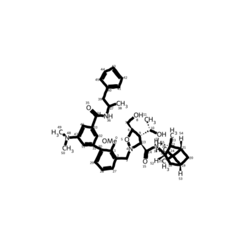 COc1c(CN2O[C@@H](CO)[C@H]([C@H](C)O)[C@H]2C(=O)N[C@H]2C[C@H]3C[C@@H]([C@@H]2C)C3(C)C)cccc1-c1cc(C(=O)NC(C)Cc2ccccc2)cc(N(C)C)c1